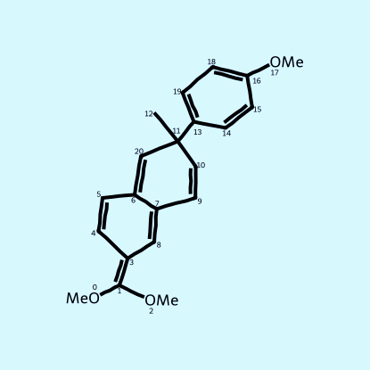 COC(OC)=c1ccc2c(c1)C=CC(C)(c1ccc(OC)cc1)C=2